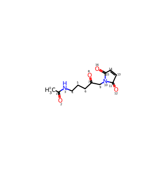 CC(=O)NCCCC(=O)CN1C(=O)C=CC1=O